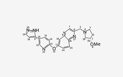 CO[C@H]1CCN(Cc2ccc3cc(Oc4ccc(-c5ccn[nH]5)cn4)ccc3n2)C1